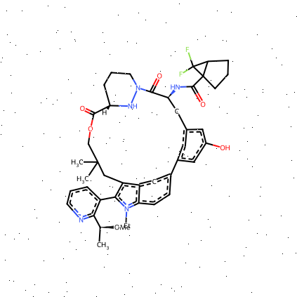 CCn1c(-c2cccnc2[C@H](C)OC)c2c3cc(ccc31)-c1cc(O)cc(c1)C[C@H](NC(=O)C13CCCC1C3(F)F)C(=O)N1CCC[C@H](N1)C(=O)OCC(C)(C)C2